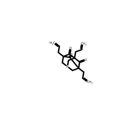 C=CCC12CN3CC(CC=C)(C1=O)C(=O)C(CC=C)(C3)C2=O